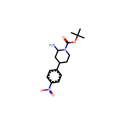 CC(C)(C)OC(=O)N1CCC(c2ccc([N+](=O)[O-])cc2)CC1N